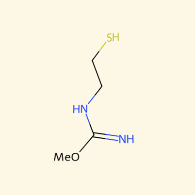 COC(=N)NCCS